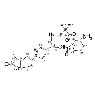 Cn1c(=O)oc2ccc(-c3ccc(C(C#N)CNC(=O)C4(OC(=O)C(F)(F)F)CCCC(N)C4)cc3)cc21